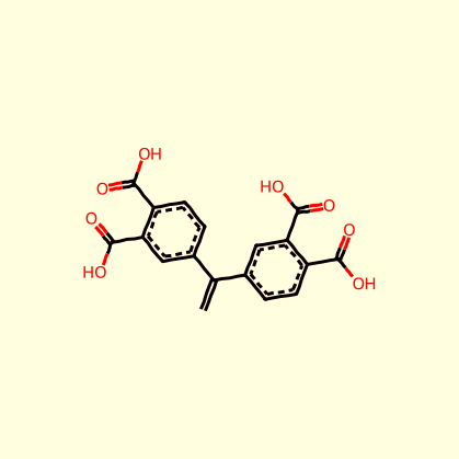 C=C(c1ccc(C(=O)O)c(C(=O)O)c1)c1ccc(C(=O)O)c(C(=O)O)c1